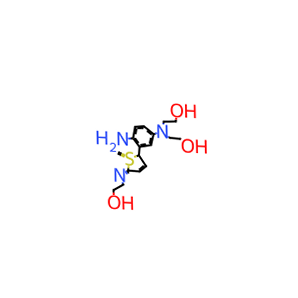 C=S1C(=NCCO)C=CC1c1cc(N(CCO)CCO)ccc1N